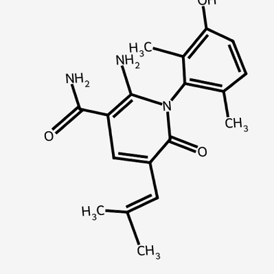 CC(C)=Cc1cc(C(N)=O)c(N)n(-c2c(C)ccc(O)c2C)c1=O